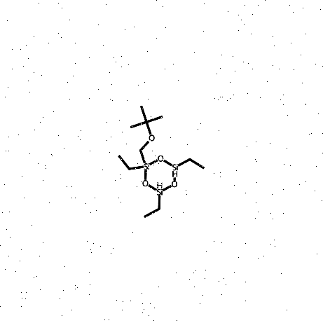 CC[SiH]1O[SiH](CC)O[Si](CC)(COC(C)(C)C)O1